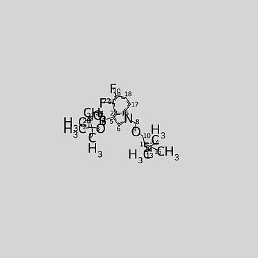 CC1(C)OB(c2cn(COCC[Si](C)(C)C)c3ccc(F)c(F)c23)OC1(C)C